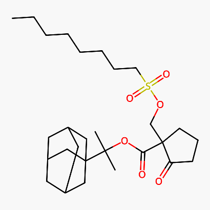 CCCCCCCCS(=O)(=O)OCC1(C(=O)OC(C)(C)C23CC4CC(CC(C4)C2)C3)CCCC1=O